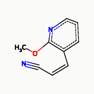 COc1ncccc1/C=C\C#N